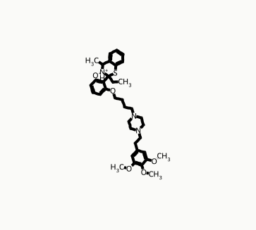 CCC1(c2ccccc2OCCCCN2CCN(CCc3cc(OC)c(OC)c(OC)c3)CC2)Sc2ccccc2C(C)[NH+]1[O-]